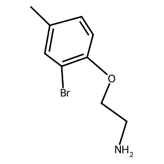 Cc1ccc(OCCN)c(Br)c1